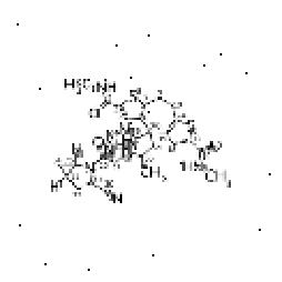 CNC(=O)c1cc2c(s1)CCc1sc(C(=O)NC)cc1C2(C[C@@H](C)NCC(=O)N1C(C#N)C[C@@H]2C[C@@H]21)C(=N)/N=N\N